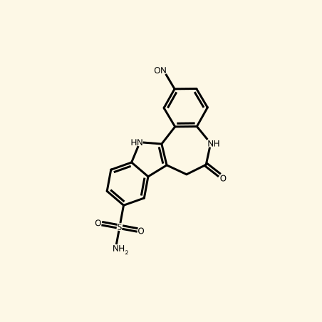 NS(=O)(=O)c1ccc2[nH]c3c(c2c1)CC(=O)Nc1ccc(N=O)cc1-3